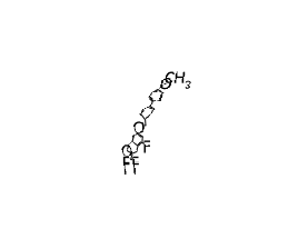 COCc1ccc(-c2ccc(COc3cc(F)c4c(c3)COC(C(F)F)C4)cc2)cc1